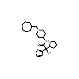 O=C(NC1CCN(CC2CCCCCC2)CC1)C(O)(c1ccsn1)C1CCCC1